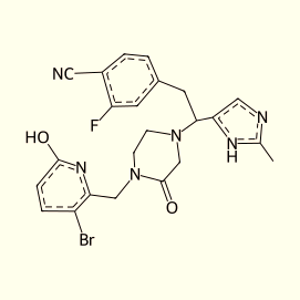 Cc1ncc(C(Cc2ccc(C#N)c(F)c2)N2CCN(Cc3nc(O)ccc3Br)C(=O)C2)[nH]1